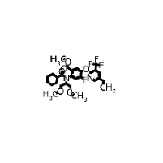 C=Cc1cnc(Oc2cc(C(=O)OC)c(N(C(=O)C3CCCCC3)C(COC)COC)cc2F)c(C(F)(F)F)c1